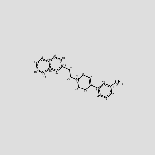 FC(F)(F)c1cccc(C2=CCN(CCc3ccc4cccnc4c3)CC2)c1